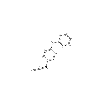 O=C=Nc1ccc(Sc2ccccc2)cc1